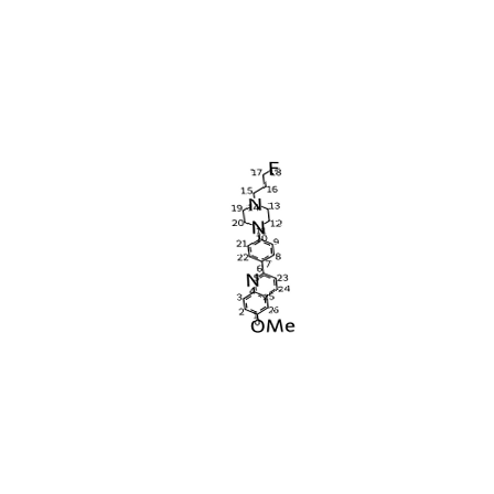 COc1ccc2nc(-c3ccc(N4CCN(CCCF)CC4)cc3)ccc2c1